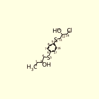 CCC(O)CSc1ccc(SC[C@@H](O)CCl)cc1